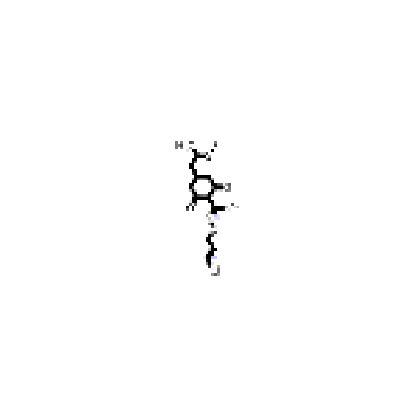 CCC/C(=N\OC/C=C/Cl)C1C(=O)CC(CC(C)SCC)CC1=O